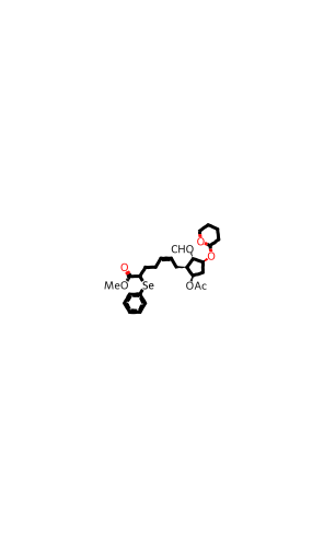 COC(=O)C(CC/C=C\C[C@H]1[C@H](C=O)[C@@H](OC2CCCCO2)C[C@H]1OC(C)=O)[Se]c1ccccc1